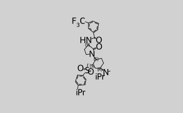 CC(C)c1ccc(S(=O)(=O)C[C@H]2C[C@H](N(C)C(C)C)CC[C@@H]2N2CC[C@H](NC(=O)c3cccc(C(F)(F)F)c3)C2=O)cc1